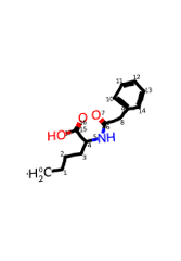 [CH2]CCCC(NC(=O)Cc1ccccc1)C(=O)O